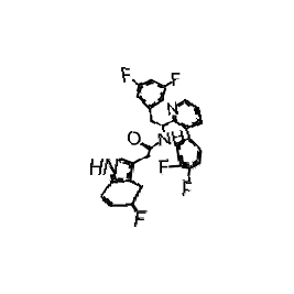 O=C(Cc1c[nH]c2c1CC(F)C=C2)N[C@@H](Cc1cc(F)cc(F)c1)c1ncccc1-c1ccc(F)c(F)c1